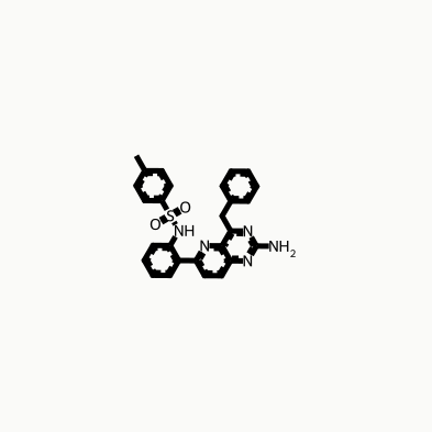 Cc1ccc(S(=O)(=O)Nc2ccccc2-c2ccc3nc(N)nc(Cc4ccccc4)c3n2)cc1